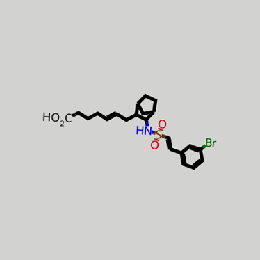 O=C(O)CCC/C=C/CC1C2CCC(C2)C1NS(=O)(=O)/C=C/c1cccc(Br)c1